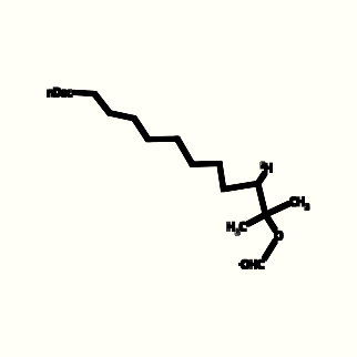 [2H]C(CCCCCCCCCCCCCCCCCC)C(C)(C)O[C]=O